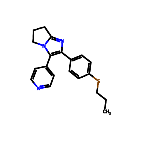 CCCSc1ccc(-c2nc3n(c2-c2ccncc2)CCC3)cc1